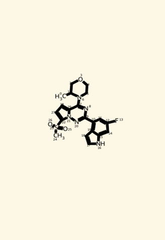 CC1COCCN1c1nc(-c2cc(F)cc3[nH]ccc23)nn2c(S(C)(=O)=O)ccc12